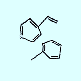 C=Cc1ccncc1.Cc1ccccc1